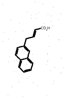 O=C(O)/C=C/Cc1ccc2ccccc2c1